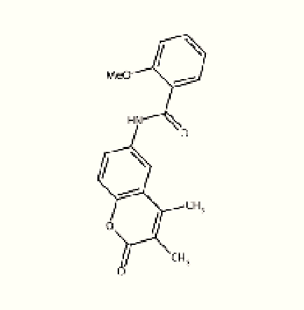 COc1ccccc1C(=O)Nc1ccc2oc(=O)c(C)c(C)c2c1